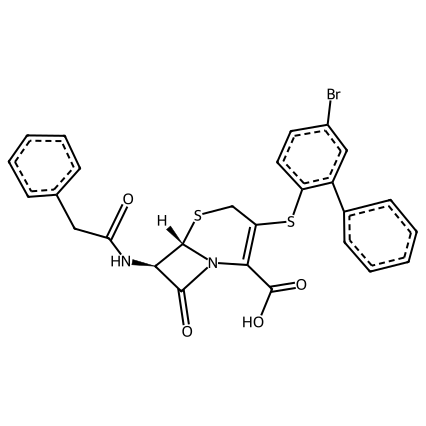 O=C(Cc1ccccc1)N[C@@H]1C(=O)N2C(C(=O)O)=C(Sc3ccc(Br)cc3-c3ccccc3)CS[C@@H]12